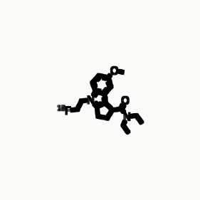 CCN(CC)C(=O)C1CCc2c1c1cc(OC)ccc1n2CC[18F]